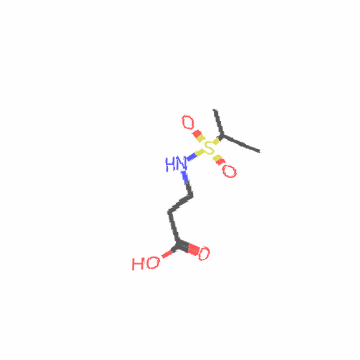 CC(C)S(=O)(=O)NCCC(=O)O